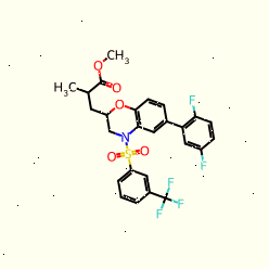 COC(=O)C(C)CC1CN(S(=O)(=O)c2cccc(C(F)(F)F)c2)c2cc(-c3cc(F)ccc3F)ccc2O1